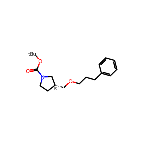 CC(C)(C)OC(=O)N1CC[C@@H](COCCCc2ccccc2)C1